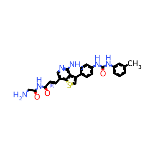 Cc1cccc(NC(=O)Nc2ccc(-c3csc4c(/C=C/C(=O)NC(=O)CN)cnc(N)c34)cc2)c1